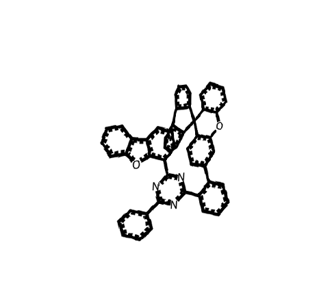 c1ccc(-c2nc(-c3ccccc3-c3ccc4c(c3)Oc3ccccc3C43c4ccccc4-c4ccccc43)nc(-c3cccc4c3oc3ccccc34)n2)cc1